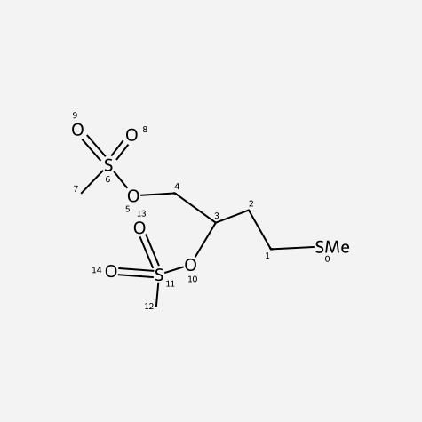 CSCCC(COS(C)(=O)=O)OS(C)(=O)=O